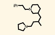 CC(C)CCN1CCCC(CC(C)CCN2CCCC2)C1